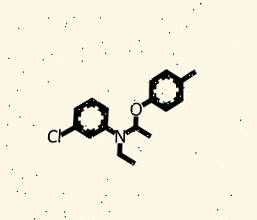 CCN(c1cccc(Cl)c1)C(C)Oc1ccc(C)cc1